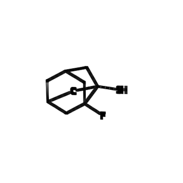 FC12CC3CC(C1)CC2(S)C3